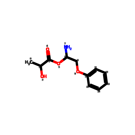 CC(O)C(=O)OC(N)COc1ccccc1